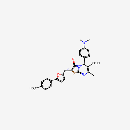 CCOC(=O)C1=C(C)N=c2s/c(=C\c3ccc(-c4ccc(C(=O)O)cc4)o3)c(=O)n2C1c1ccc(N(C)C)cc1